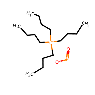 CCCC[P+](CCCC)(CCCC)CCCC.O=P[O-]